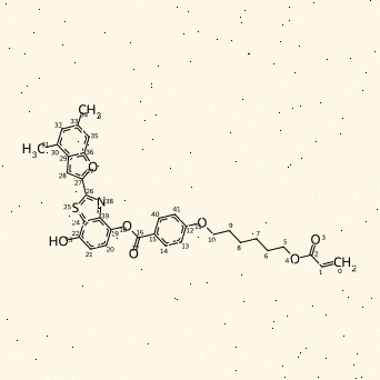 C=CC(=O)OCCCCCCOc1ccc(C(=O)Oc2ccc(O)c3sc(-c4cc5c(C)cc(C)cc5o4)nc23)cc1